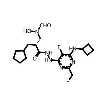 O=CN(O)C[C@@H](CC1CCCC1)C(=O)NNc1nc(CF)nc(NC2CCC2)c1F